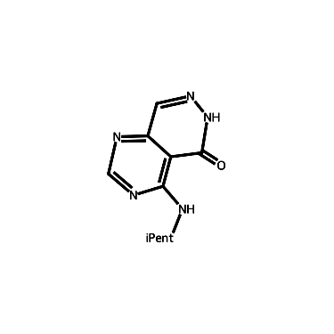 CCCC(C)Nc1ncnc2cn[nH]c(=O)c12